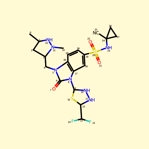 CC1CC(Cn2c(=O)n(C3NNC(C(F)F)S3)c3cc(S(=O)(=O)NC4(C#N)CC4)ccc32)N(C)N1